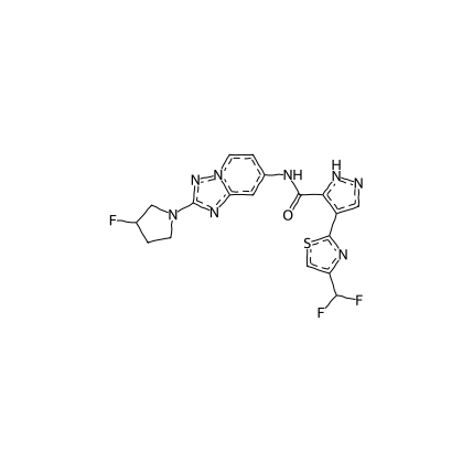 O=C(Nc1ccn2nc(N3CCC(F)C3)nc2c1)c1[nH]ncc1-c1nc(C(F)F)cs1